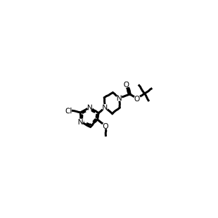 COc1cnc(Cl)nc1N1CCN(C(=O)OC(C)(C)C)CC1